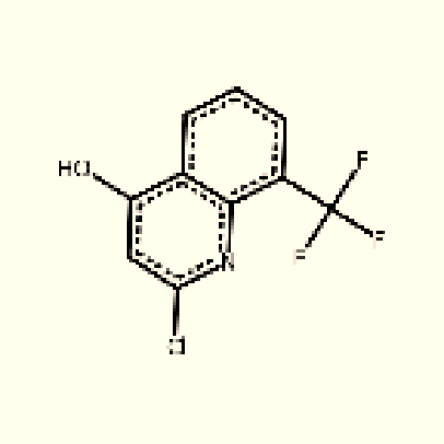 Oc1cc(Cl)nc2c(C(F)(F)F)cccc12